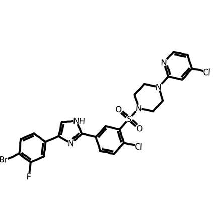 O=S(=O)(c1cc(-c2nc(-c3ccc(Br)c(F)c3)c[nH]2)ccc1Cl)N1CCN(c2cc(Cl)ccn2)CC1